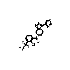 CC(F)(F)c1cccc(C(=O)N2CCn3c(nnc3-c3cscn3)C2)c1Cl